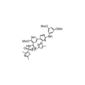 COc1cc(Nc2ncc(-c3cnc(OC)c(C(=O)NS(=O)(=O)c4sc(C)nc4C)c3)c(-n3nc(C(F)(F)F)cc3C)n2)cc(OC)c1